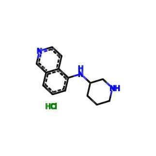 Cl.c1cc(NC2CCCNC2)c2ccncc2c1